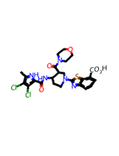 Cc1[nH]c(C(=O)NC2CCN(c3nc4cccc(C(=O)O)c4s3)CC2C(=O)N2CCOCC2)c(Cl)c1Cl